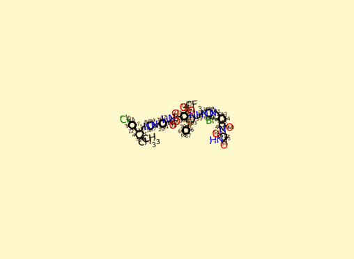 CC1(C)CCC(c2ccc(Cl)cc2)=C(CN2CCN(c3ccc(C(=O)NS(=O)(=O)c4ccc(N[C@H](CCN5CCN(Cc6ccc7c(c6Br)CN(C6CCC(=O)NC6=O)C7=O)CC5)CSc5ccccc5)c(S(=O)(=O)C(F)(F)F)c4)cc3)CC2)C1